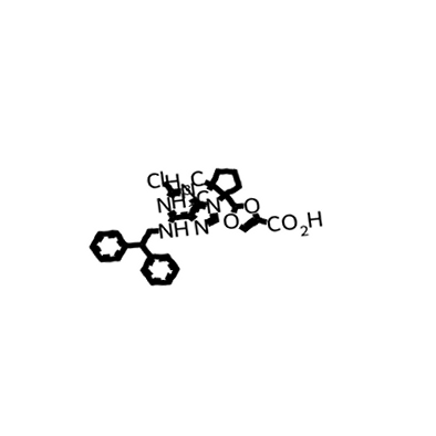 CC1(C)CCCC1(C1OC=C(C(=O)O)O1)n1cnc2c(NCC(c3ccccc3)c3ccccc3)nc(Cl)nc21